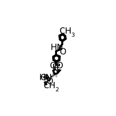 C=CS(=O)(=O)NC[C@H]1CCN(S(=O)(=O)c2ccc(CC(=O)NCc3ccc(C)cc3)cc2)C1